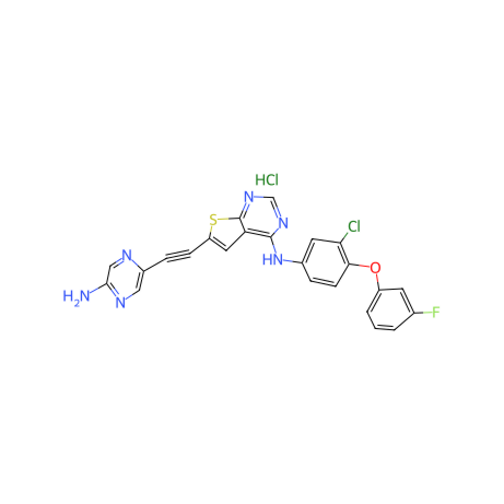 Cl.Nc1cnc(C#Cc2cc3c(Nc4ccc(Oc5cccc(F)c5)c(Cl)c4)ncnc3s2)cn1